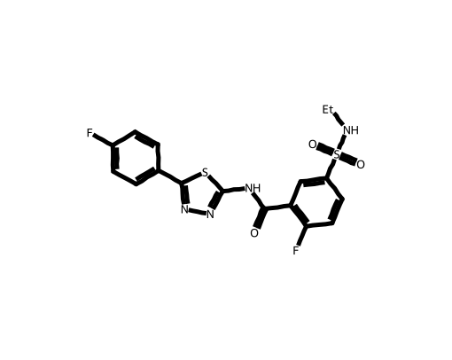 CCNS(=O)(=O)c1ccc(F)c(C(=O)Nc2nnc(-c3ccc(F)cc3)s2)c1